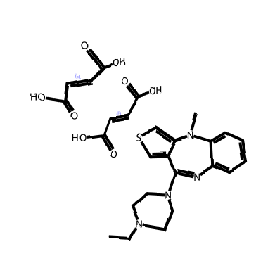 CCN1CCN(C2=Nc3ccccc3N(C)c3cscc32)CC1.O=C(O)/C=C/C(=O)O.O=C(O)/C=C/C(=O)O